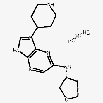 Cl.Cl.Cl.c1nc2[nH]cc(C3CCNCC3)c2nc1N[C@@H]1CCOC1